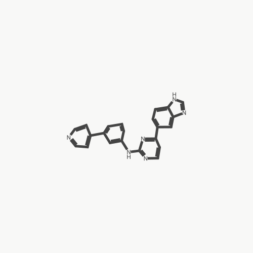 c1cc(Nc2nccc(-c3ccc4[nH]cnc4c3)n2)cc(-c2ccncc2)c1